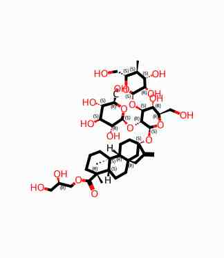 C=C1C[C@@]23CC[C@H]4[C@@](C)(CCC[C@@]4(C)C(=O)OC[C@H](O)CO)[C@@H]2CC[C@]1(O[C@@H]1O[C@H](CO)[C@@H](O)[C@H](O[C@@H]2O[C@H](CO)[C@@H](C)[C@H](O)[C@H]2O)[C@H]1O[C@@H]1O[C@H](CO)[C@@H](O)[C@H](O)[C@H]1O)C3